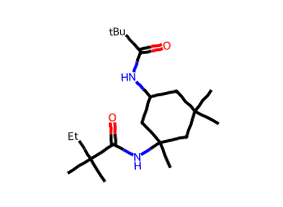 CCC(C)(C)C(=O)NC1(C)CC(NC(=O)C(C)(C)C)CC(C)(C)C1